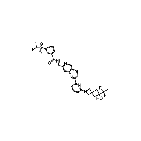 O=C(NCc1cc2nc(-c3cccc(N4CC5(C4)CC(O)(C(F)(F)F)C5)n3)ccc2cn1)c1cccc(S(=O)(=O)C(F)F)c1